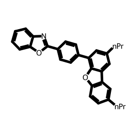 CCCc1ccc2oc3c(-c4ccc(-c5nc6ccccc6o5)cc4)cc(CCC)cc3c2c1